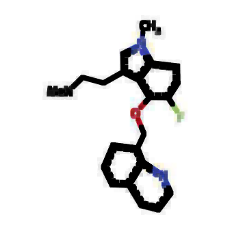 CNCCc1cn(C)c2ccc(F)c(OCc3cccc4cccnc34)c12